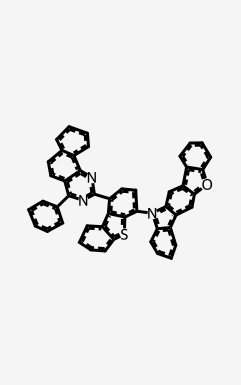 c1ccc(-c2nc(-c3ccc(-n4c5ccccc5c5cc6oc7ccccc7c6cc54)c4sc5ccccc5c34)nc3c2ccc2ccccc23)cc1